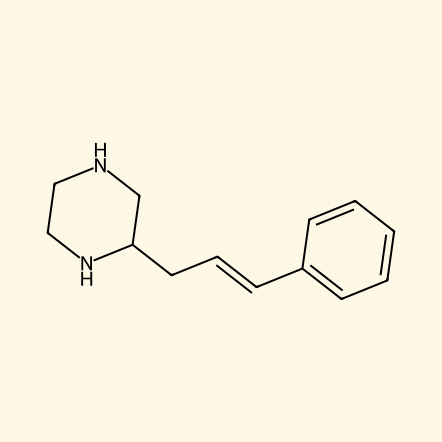 C(=Cc1ccccc1)CC1CNCCN1